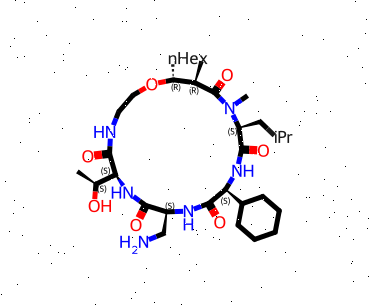 CCCCCC[C@H]1OCCNC(=O)[C@H]([C@H](C)O)NC(=O)[C@H](CN)NC(=O)[C@H](C2CCCCC2)NC(=O)[C@H](CC(C)C)N(C)C(=O)[C@@H]1C